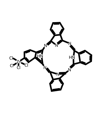 [Cl][Zn]([Cl])([Cl])([Cl])[c]1ccc2c3nc4nc(nc5[nH]c(nc6nc(nc([nH]3)c2c1)-c1ccccc1-6)c1ccccc51)-c1ccccc1-4